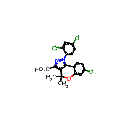 CC1(C)Oc2cc(Cl)ccc2-c2c1c(C(=O)O)nn2-c1ccc(Cl)cc1Cl